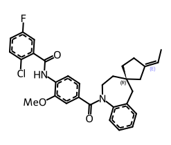 C/C=C1\CC[C@@]2(CCN(C(=O)c3ccc(NC(=O)c4cc(F)ccc4Cl)c(OC)c3)c3ccccc3C2)C1